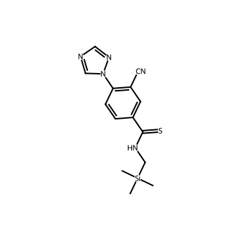 C[Si](C)(C)CNC(=S)c1ccc(-n2cncn2)c(C#N)c1